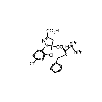 CC1(C(=O)O)CC(C(=O)O)=NN1c1ccc(Cl)cc1Cl.CCCN(CCC)C(=O)SCc1ccccc1